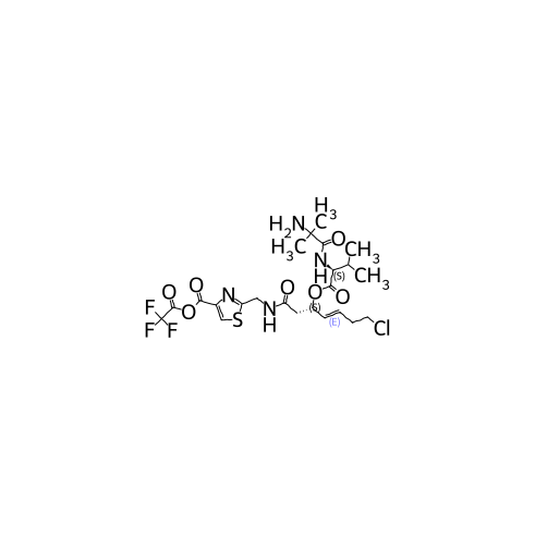 CC(C)[C@H](NC(=O)C(C)(C)N)C(=O)O[C@H](/C=C/CCCl)CC(=O)NCc1nc(C(=O)OC(=O)C(F)(F)F)cs1